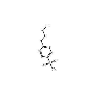 NS(=O)(=O)c1ccc(CCC[O])cc1